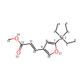 CC[Si](CC)(CC)c1cc(C=CC(=O)OC)co1